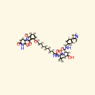 Cc1ncsc1-c1ccc(CNC(=O)[C@@H]2C[C@@H](O)CN2C(=O)[C@@H](NC(=O)CCCCCCCCCCOc2cccc3c2C(=O)N(C2CCC(=O)NC2=O)C3=O)C(C)(C)C)cc1